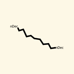 CCCCCCCCCCCCCCCCCCCCCCCCCCCCC